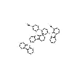 N#Cc1ccc(-c2ccc(-n3c4ccccc4c4cccc(C#N)c43)cc2)c(-n2c3ccccc3c3cc(-n4c5ccccc5c5ccccc54)ccc32)c1